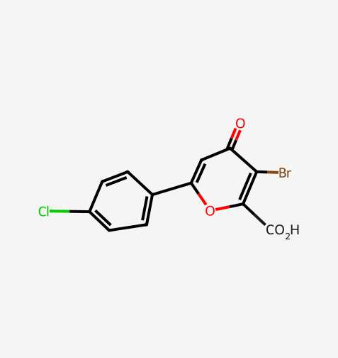 O=C(O)c1oc(-c2ccc(Cl)cc2)cc(=O)c1Br